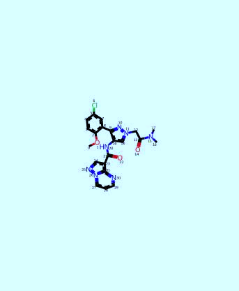 COc1ccc(Cl)cc1-c1nn(CC(=O)N(C)C)cc1NC(=O)c1cnn2cccnc12